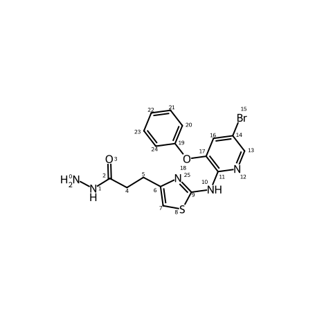 NNC(=O)CCc1csc(Nc2ncc(Br)cc2Oc2ccccc2)n1